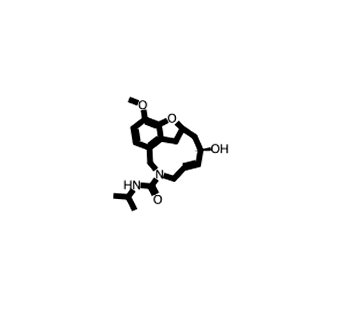 COc1ccc2c3c1OC(C3)C[C@@H](O)/C=C/CN(C(=O)NC(C)C)C2